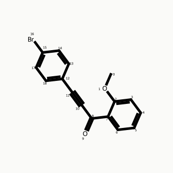 COc1ccccc1C(=O)C#Cc1ccc(Br)cc1